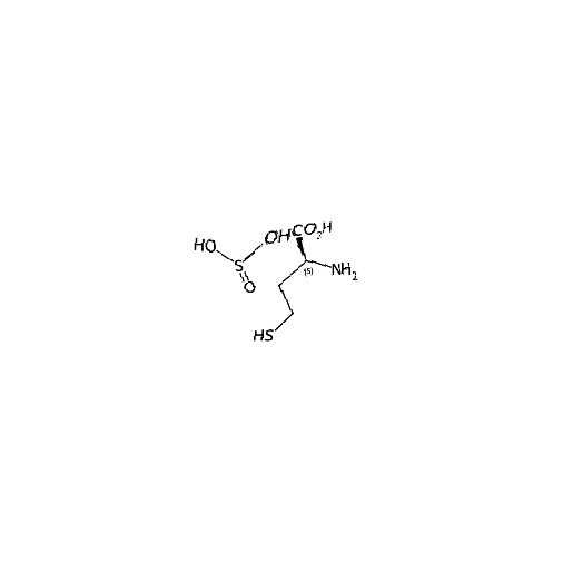 N[C@@H](CCS)C(=O)O.O=S(O)O